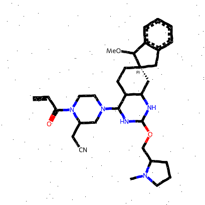 C=CC(=O)N1CCN(C2NC(OCC3CCCN3C)NC3C[C@@]4(CCC32)Cc2ccccc2C4OC)CC1CC#N